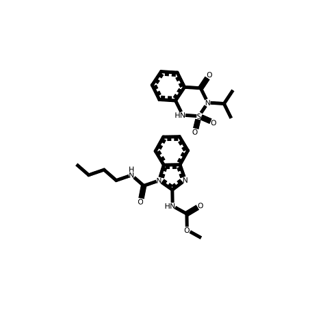 CC(C)N1C(=O)c2ccccc2NS1(=O)=O.CCCCNC(=O)n1c(NC(=O)OC)nc2ccccc21